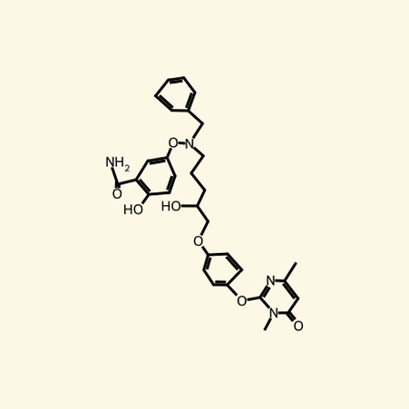 Cc1cc(=O)n(C)c(Oc2ccc(OCC(O)CCCN(Cc3ccccc3)Oc3ccc(O)c(C(N)=O)c3)cc2)n1